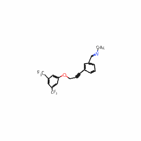 CC(=O)ON=Cc1cccc(C#CCOc2cc(C(F)(F)F)cc(C(F)(F)F)c2)c1